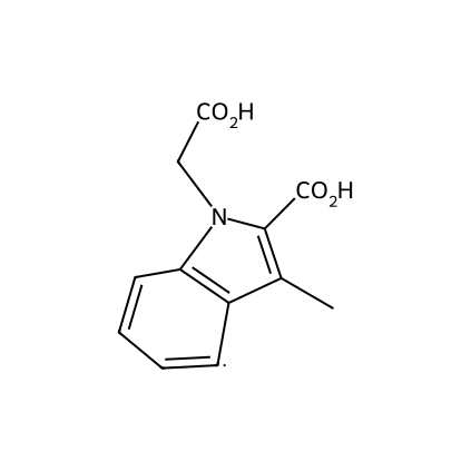 Cc1c(C(=O)O)n(CC(=O)O)c2ccc[c]c12